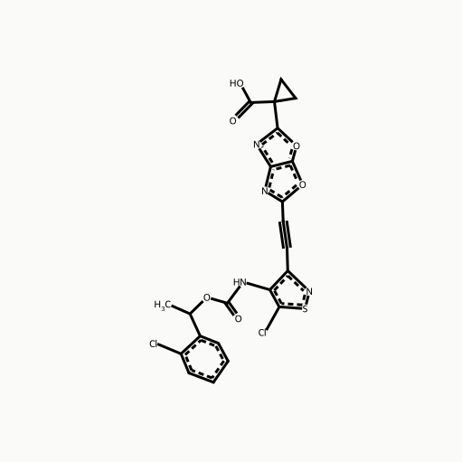 CC(OC(=O)Nc1c(C#Cc2nc3nc(C4(C(=O)O)CC4)oc3o2)nsc1Cl)c1ccccc1Cl